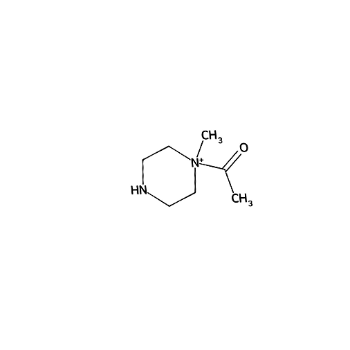 CC(=O)[N+]1(C)CCNCC1